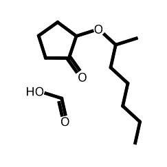 CCCCCC(C)OC1CCCC1=O.O=CO